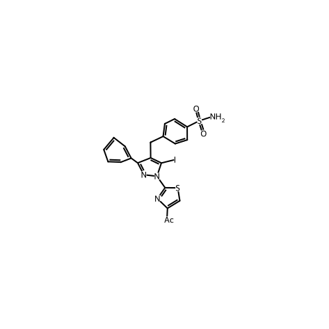 CC(=O)c1csc(-n2nc(-c3ccccc3)c(Cc3ccc(S(N)(=O)=O)cc3)c2I)n1